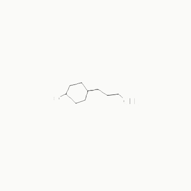 CCCCC1CCC([O])CC1